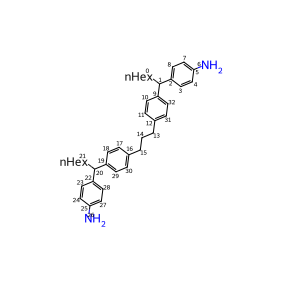 CCCCCCC(c1ccc(N)cc1)c1ccc(CCCc2ccc(C(CCCCCC)c3ccc(N)cc3)cc2)cc1